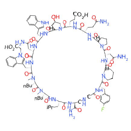 CCCC[C@H]1C(=O)N(C)[C@@H](CCCC)C(=O)N[C@@H](CC(C)C)C(=O)N[C@H](C(N)=O)CNCC(=O)N[C@@H](Cc2ccc(F)cc2)C(=O)N2CCCC[C@H]2C(=O)N[C@@H](CC(N)=O)C(=O)N2CCC[C@H]2C(=O)N[C@@H](CCC(N)=O)C(=O)N[C@@H](CCC(=O)O)C(=O)N2C[C@H](O)C[C@H]2C(=O)N[C@@H](Cc2c[nH]c3ccccc23)C(=O)N[C@@H](CC(N)=O)C(=O)N[C@@H](Cc2cn(CC(=O)O)c3ccccc23)C(=O)N1C